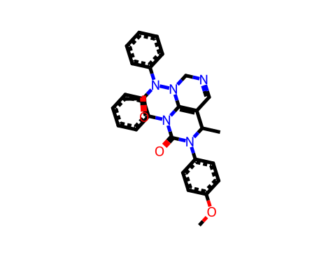 COc1ccc(N2C(=O)N(c3ccccc3)C3=C(C=NCN3N(C(C)=O)c3ccccc3)C2C)cc1